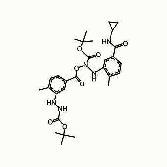 Cc1ccc(C(=O)ON(Nc2cc(C(=O)NC3CC3)ccc2C)C(=O)OC(C)(C)C)cc1NNC(=O)OC(C)(C)C